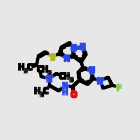 C=C/C=C\Sc1ccn2ncc(-c3cc(C(=O)NC[C@H](C)N(CC)CC)cc(N4CC(F)C4)n3)c2n1